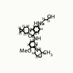 COc1ccc(NC(=O)c2ccc(NSCCO)cc2N2CCC3(CC2)CC3)nc1N1CCO[C@H](C)C1